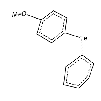 COc1ccc([Te]c2ccccc2)cc1